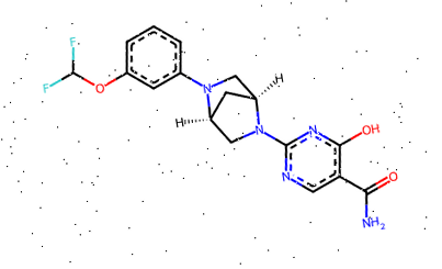 NC(=O)c1cnc(N2C[C@@H]3C[C@H]2CN3c2cccc(OC(F)F)c2)nc1O